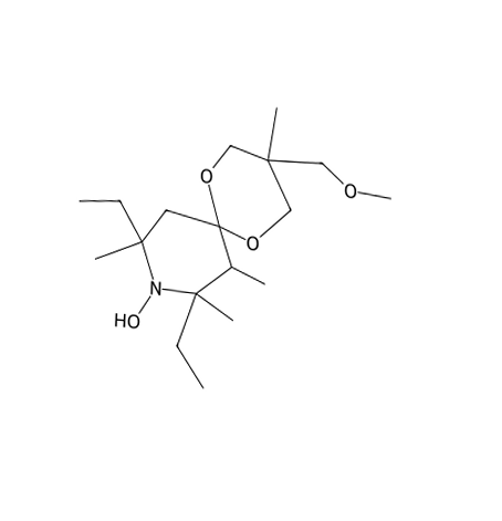 CCC1(C)CC2(OCC(C)(COC)CO2)C(C)C(C)(CC)N1O